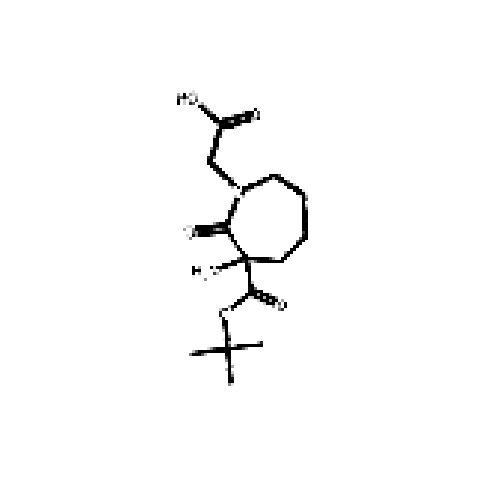 CC(C)(C)OC(=O)C1(N)CCCCN(CC(=O)O)C1=O